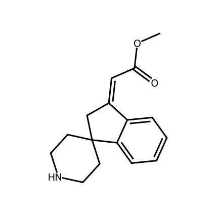 COC(=O)/C=C1/CC2(CCNCC2)c2ccccc21